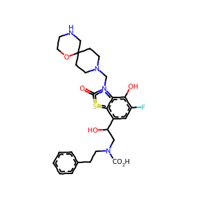 O=C(O)N(CCc1ccccc1)CC(O)c1cc(F)c(O)c2c1sc(=O)n2CN1CCC2(CC1)CNCCO2